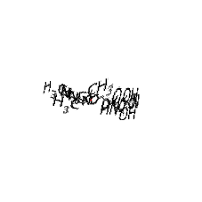 Cc1c(C)n(CC(C)CN2CCN(C)CC2)c2ccc(Cc3cccc(C(=O)Nc4cc(O)c(-c5ccncc5)c(O)c4)c3)cc12